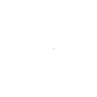 C[Si](C)(C)OC(CN=Cc1ccccn1)c1ccccc1